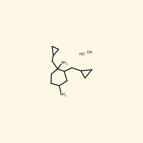 Cl.Cl.NC1CCC(N)(CC2CC2)C(CC2CC2)C1